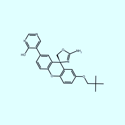 CC(C)(C)COc1ccc2c(c1)[C@]1(COC(N)=N1)c1cc(-c3cncnc3O)ccc1O2